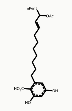 CCCCCC(C=CCCCCCCCc1cc(O)cc(O)c1C(=O)O)OC(C)=O